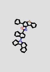 c1ccc(-c2cc3sc4ccccc4c3c3nc(-c4ccc(-n5c6ccccc6c6c7ccccc7ccc65)c5ccccc45)oc23)cc1